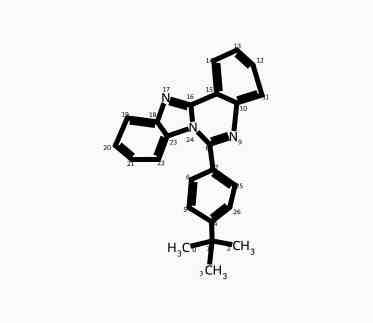 CC(C)(C)c1ccc(-c2nc3ccccc3c3nc4ccccc4n23)cc1